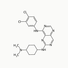 CN(C)C1CCC(Nc2ncc3ncnc(Nc4ccc(Cl)c(Cl)c4)c3n2)CC1